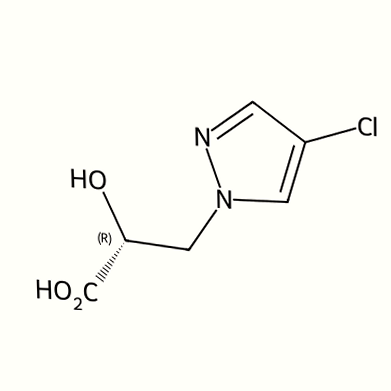 O=C(O)[C@H](O)Cn1cc(Cl)cn1